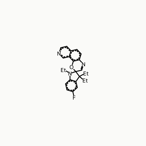 CCN1c2ccc(F)cc2C(CC)(CC)C12C=Nc1ccc3ccncc3c1O2